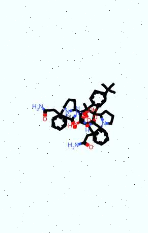 CC(C)(C)c1ccc(C2(C)C(C3CCCN3[C@@]3(C(=O)NC(=O)O)c4ccc(cc4)C3(C)CC(N)=O)CCCC2(C)C2CCCN2[C@@]2(C(=O)NC(=O)O)c3ccc(cc3)C2(C)CC(N)=O)cc1